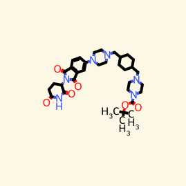 CC(C)(C)OC(=O)N1CCN(CC2CCC(CN3CCN(c4ccc5c(c4)C(=O)N(C4CCC(=O)NC4=O)C5=O)CC3)CC2)CC1